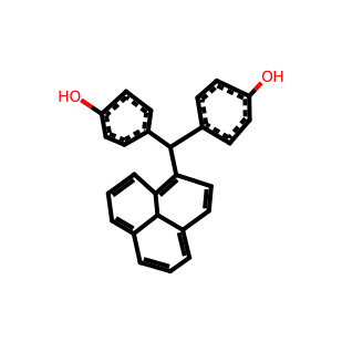 Oc1ccc(C(C2=C3C=CC=C4C=CC=C(C=C2)C43)c2ccc(O)cc2)cc1